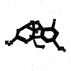 COc1c(F)cc([N+](=O)[O-])cc1[C@@]1(CF)N=C(N)OC2C[C@@H]21